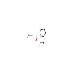 COc1ccc2c(n1)N(C(=O)OC(C)C)C(CSC)C(=O)N2